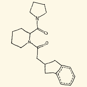 O=C(C1CCCCN1C(=O)CC1Cc2ccccc2C1)N1CCCC1